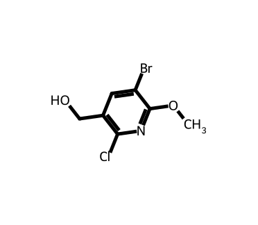 COc1nc(Cl)c(CO)cc1Br